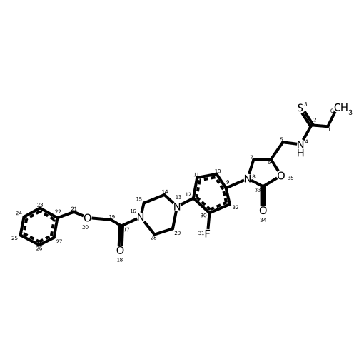 CCC(=S)NCC1CN(c2ccc(N3CCN(C(=O)COCc4ccccc4)CC3)c(F)c2)C(=O)O1